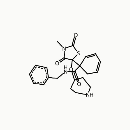 CN1C(=O)SC(OC2CCNCC2)(C2(C(=O)NCc3ccccc3)C=CC=CC2)C1=O